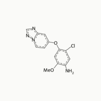 COc1cc(Oc2ccn3ncnc3c2)c(Cl)cc1N